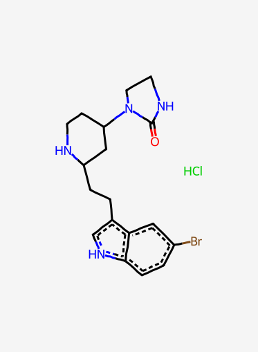 Cl.O=C1NCCN1C1CCNC(CCc2c[nH]c3ccc(Br)cc23)C1